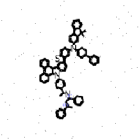 C/C(=C\C(=N/C(C)C1C=CC(N2c3ccc4c(sc5ccc(N(C6=CC=C(c7ccccc7)CC6)c6ccc7c(c6)C(C)(C)c6ccccc6-7)cc54)c3C3c4ccccc4C4=C(C=CCC4)C32)=CC1)C1=CC=CCC1)c1ccccc1